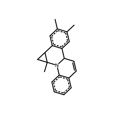 Cc1cc2c(cc1C)C1CC1(C)N1c3ccccc3C=CC21